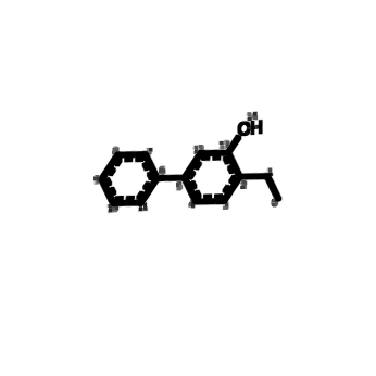 CCc1ccc(-c2ccccc2)cc1O